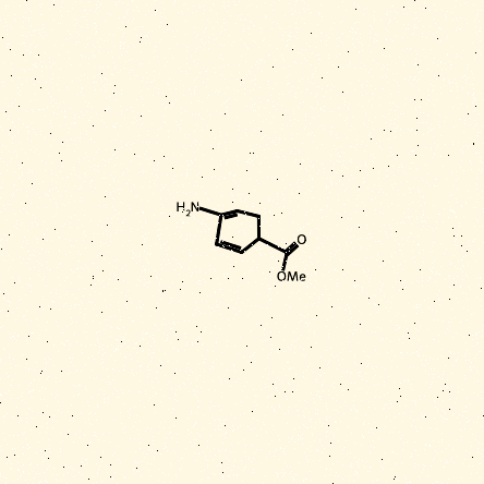 COC(=O)C1C=CC(N)=CC1